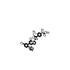 Cc1oc([C@@H]2CCc3cc(-c4cc(Cl)ccc4-n4cnnn4)cc(=O)n32)nc1-c1ccc(NC(=O)O)cc1